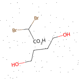 O=C(O)C(Br)Br.OCCCCO